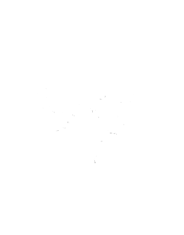 COC[C@@H]1C[C@@H](C)CCC=C[C@@H]2C[C@@]2(C(=O)NS(=O)(=O)C2CC2)NC(=O)[C@@H]2C[C@@H](Oc3ncc(OC)c4ccccc34)CN2C(=O)[C@H]1NC(=O)O